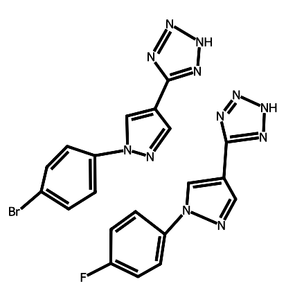 Brc1ccc(-n2cc(-c3nn[nH]n3)cn2)cc1.Fc1ccc(-n2cc(-c3nn[nH]n3)cn2)cc1